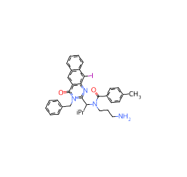 Cc1ccc(C(=O)N(CCCN)C(c2nc3c(I)c4ccccc4cc3c(=O)n2Cc2ccccc2)C(C)C)cc1